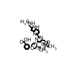 CC[C@H]1COCCN1c1cc(CS(=O)(=O)N(C)C)nc(-c2ccc3[nH]c(CNC)cc3n2)n1.O=C(O)c1ccccc1